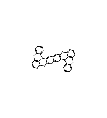 c1ccc2c(c1)Sc1cccc3c1B2c1cc2cc4c(cc2cc1S3)B1c2ccccc2Sc2cccc(c21)S4